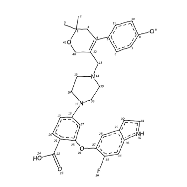 CC1(C)CC(c2ccc(Cl)cc2)=C(CN2CCN(c3ccc(C(=O)O)c(Oc4cc5cc[nH]c5cc4F)c3)CC2)CO1